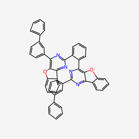 c1ccc(-c2cccc(-c3nc(-c4ccccc4-c4nc(-c5cccc(-c6ccccc6)c5)c5oc6ccccc6c5n4)c4oc5ccccc5c4n3)c2)cc1